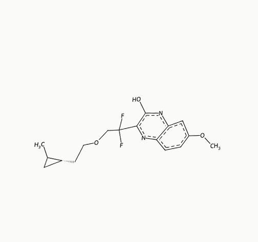 COc1ccc2nc(C(F)(F)COCC[C@@H]3CC3C)c(O)nc2c1